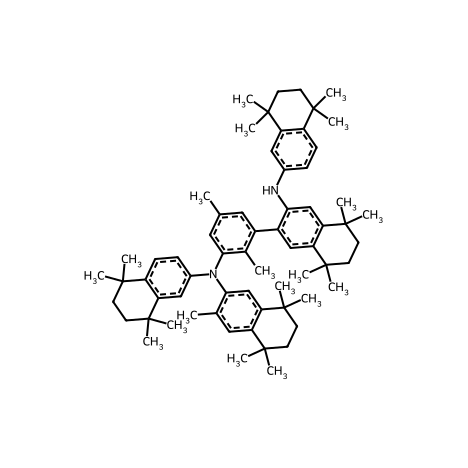 Cc1cc(-c2cc3c(cc2Nc2ccc4c(c2)C(C)(C)CCC4(C)C)C(C)(C)CCC3(C)C)c(C)c(N(c2ccc3c(c2)C(C)(C)CCC3(C)C)c2cc3c(cc2C)C(C)(C)CCC3(C)C)c1